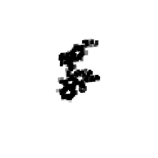 CNC(=O)C(=NOC)c1ccccc1C(C)ON=CC(=NOC)c1ccc(OCC(C)C)cc1